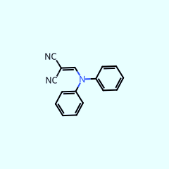 N#CC(C#N)=CN(c1ccccc1)c1ccccc1